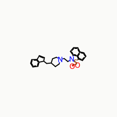 O=S1(=O)c2cccc3cccc(c23)N1CCN1CCC(CC2C=Cc3ccccc32)CC1